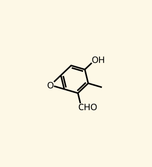 Cc1c(O)cc2c(c1C=O)O2